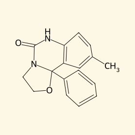 Cc1ccc2c(c1)C1(c3ccccc3)OCCN1C(=O)N2